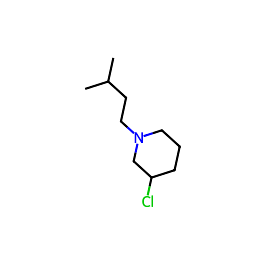 CC(C)CCN1CCCC(Cl)C1